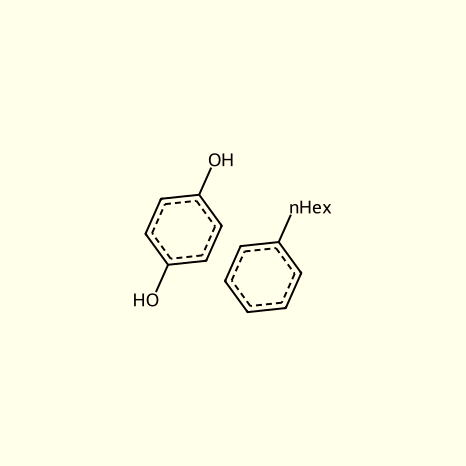 CCCCCCc1ccccc1.Oc1ccc(O)cc1